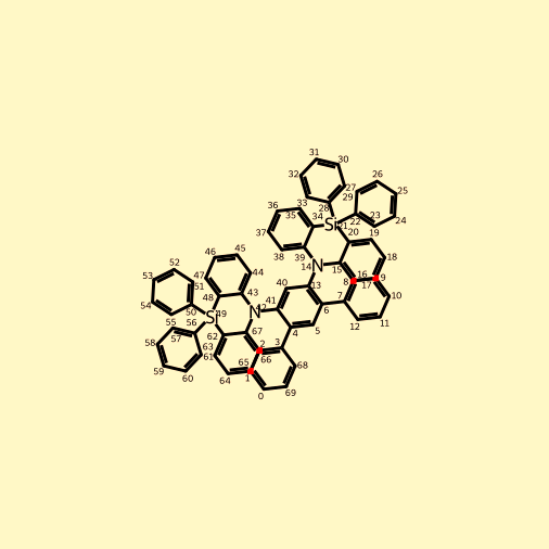 c1ccc(-c2cc(-c3ccccc3)c(N3c4ccccc4[Si](c4ccccc4)(c4ccccc4)c4ccccc43)cc2N2c3ccccc3[Si](c3ccccc3)(c3ccccc3)c3ccccc32)cc1